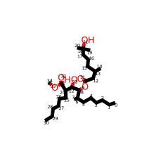 CCCCCCC(C)C(OC(=O)CC(C)CCCC(C)(C)O)C(O)C(CCCCCC)C(=O)OC